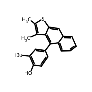 CCC(C)c1cc(-c2c3ccccc3cc3sc(C)c(C)c23)ccc1O